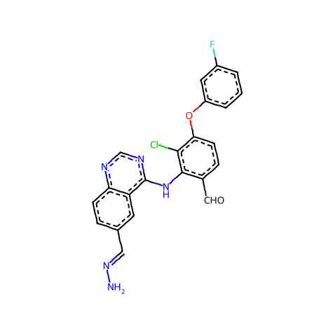 NN=Cc1ccc2ncnc(Nc3c(C=O)ccc(Oc4cccc(F)c4)c3Cl)c2c1